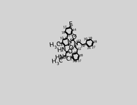 CN[C@@H](C)C(=O)Nc1c(C)cc(-c2ccc(F)cc2)n(C(=O)N(CCc2ccccc2)CCc2ccccc2)c1=O